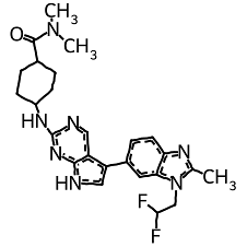 Cc1nc2ccc(-c3c[nH]c4nc(NC5CCC(C(=O)N(C)C)CC5)ncc34)cc2n1CC(F)F